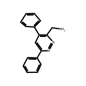 NCc1nnc(-c2ccccc2)cc1-c1ccccc1